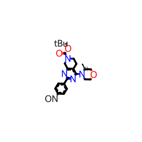 C[C@H]1COCCN1c1nc(-c2ccc(N=O)cc2)nc2c1CCN(C(=O)OC(C)(C)C)C2